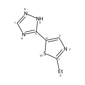 CCc1ncc(-c2ncn[nH]2)s1